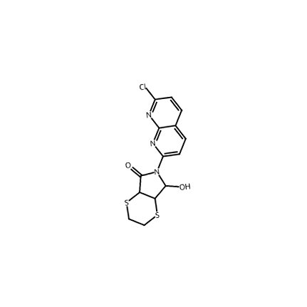 O=C1C2SCCSC2C(O)N1c1ccc2ccc(Cl)nc2n1